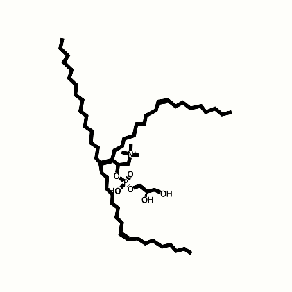 CCCCCCCC/C=C\CCCCCCCCC(CCCCCCCCCCCCCCCC)=C(CCCCCCCC/C=C\CCCCCCCC)C(C[N+](C)(C)C)OP(=O)(O)OC[C@H](O)CO